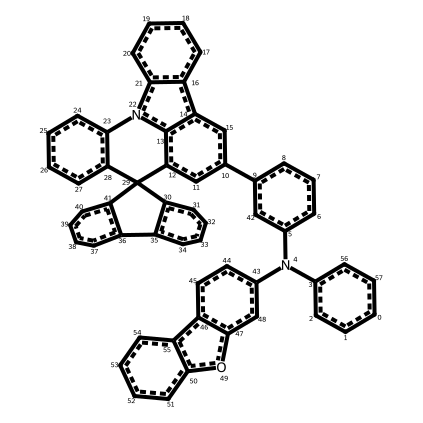 c1ccc(N(c2cccc(-c3cc4c5c(c3)c3ccccc3n5-c3ccccc3C43c4ccccc4-c4ccccc43)c2)c2ccc3c(c2)oc2ccccc23)cc1